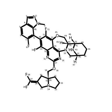 Cn1ncc2ccc(F)c(-c3c(F)c4c5c(nc(OC[C@@]67CCCN6CC(=C(F)F)C7)nc5c3F)N3C[C@H]5CCC[C@H](N5)[C@H]3CO4)c21